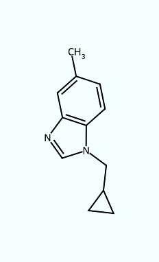 Cc1ccc2c(c1)ncn2CC1CC1